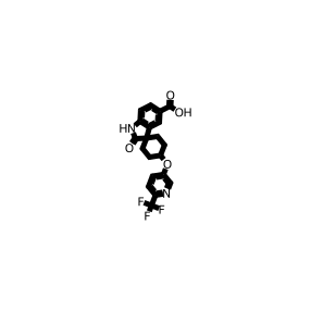 O=C(O)c1ccc2c(c1)C1(CCC(Oc3ccc(C(F)(F)F)nc3)CC1)C(=O)N2